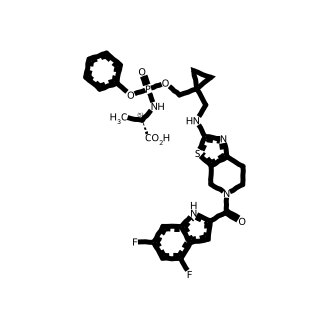 C[C@H](NP(=O)(OCC1(CNc2nc3c(s2)CN(C(=O)c2cc4c(F)cc(F)cc4[nH]2)CC3)CC1)Oc1ccccc1)C(=O)O